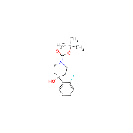 CC(C)(C)OC(=O)N1CCC(O)(c2ccccc2F)CC1